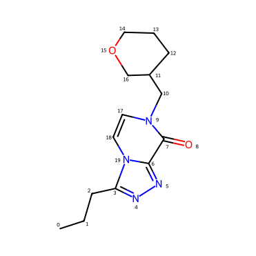 CCCc1nnc2c(=O)n(CC3CCCOC3)ccn12